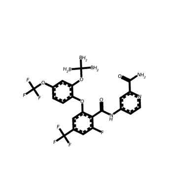 BC(B)(B)Oc1cc(OC(F)(F)F)ccc1Oc1cc(C(F)(F)F)cc(F)c1C(=O)Nc1ccnc(C(N)=O)c1